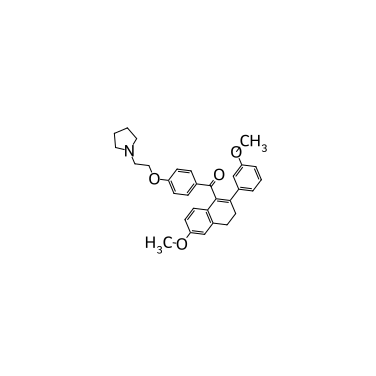 COc1cccc(C2=C(C(=O)c3ccc(OCCN4CCCC4)cc3)c3ccc(OC)cc3CC2)c1